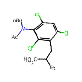 CCCCN(C(C)=O)c1c(Cl)cc(Cl)c(CC(CC)C(=O)O)c1Cl